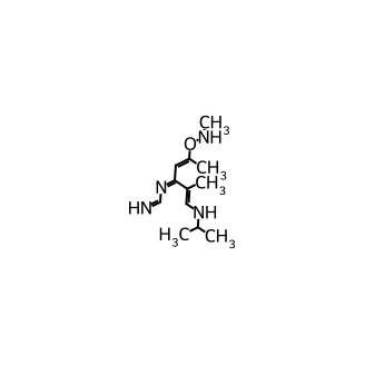 CNO/C(C)=C/C(=N/C=N)C(/C)=C/NC(C)C